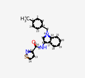 Cc1ccc(Cn2cc(NC(=O)c3ccsn3)c3ccccc32)cc1